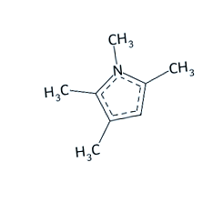 Cc1cc(C)n(C)c1C